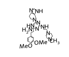 COc1ccc(CCC2(N)N=C(NCCN3CCN(C)CC3)N=C(N3CCc4nc[nH]c4C3)N2)cc1OC